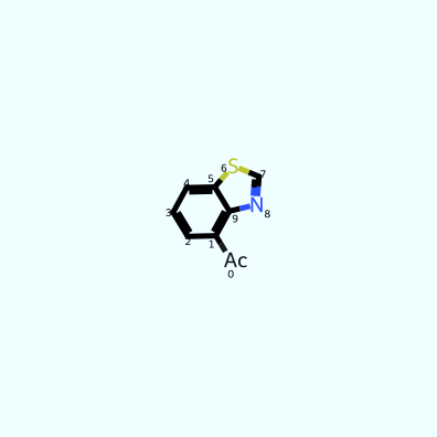 CC(=O)c1cccc2scnc12